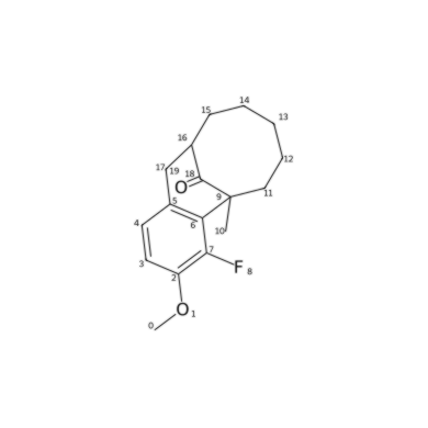 COc1ccc2c(c1F)C1(C)CCCCCC(C2)C1=O